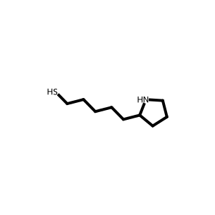 SCCCCCC1CCCN1